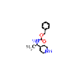 CC(NC(=O)OCc1ccccc1)C1CCNCC1